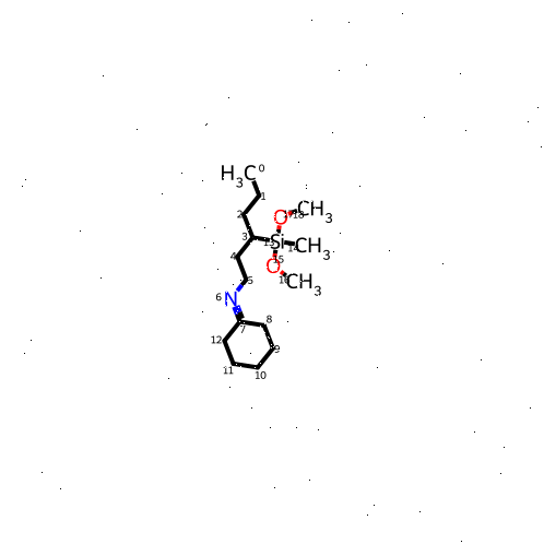 CCCC(CCN=C1CCCCC1)[Si](C)(OC)OC